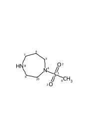 CS(=O)(=O)N1CCCNCC1